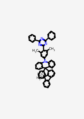 Cc1cc(N2c3ccccc3C(c3ccccc3)(c3cccc4c3C(C)(C)c3ccccc3-4)c3ccccc32)cc(C)c1-c1nc(-c2ccccc2)nc(-c2ccccc2)n1